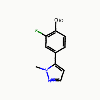 Cn1nccc1-c1ccc(C=O)c(F)c1